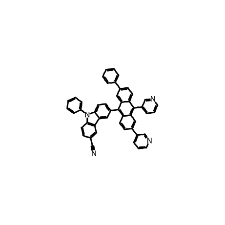 N#Cc1ccc2c(c1)c1cc(-c3c4ccc(-c5cccnc5)cc4c(-c4cccnc4)c4ccc(-c5ccccc5)cc34)ccc1n2-c1ccccc1